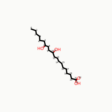 CCCCCCC(O)CCC(O)CCCCCCCCCC(=O)O